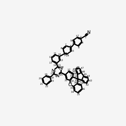 N#Cc1ccc(-c2ccc(-c3cccc(-c4nc(-c5ccccc5)nc(-c5ccc6c(c5)Oc5ccccc5C65c6ccccc6-c6ccccc65)n4)c3)cc2)cc1